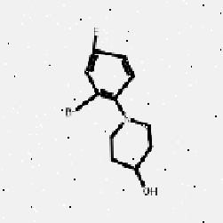 OC1CCN(c2ccc(F)cc2Br)CC1